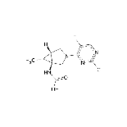 C[C@@H]1[C@@H]2CN(c3nc(Cl)ncc3F)C[C@]12NC(=O)O